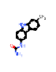 NC(=O)Nc1ccc2[nH]c3cc(C(F)(F)F)ccc3c2c1